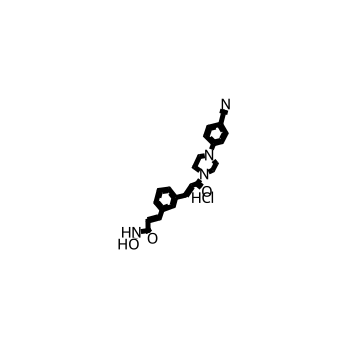 Cl.N#Cc1ccc(N2CCN(C(=O)/C=C/c3cccc(/C=C/C(=O)NO)c3)CC2)cc1